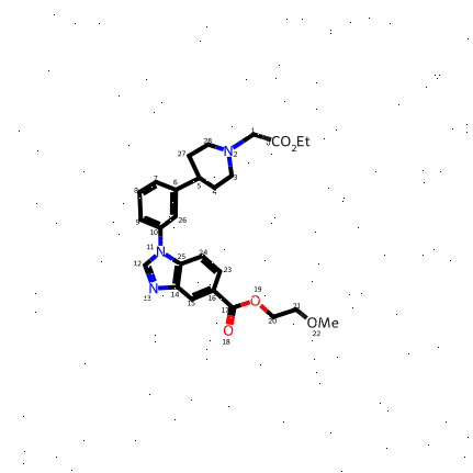 CCOC(=O)CN1CCC(c2cccc(-n3cnc4cc(C(=O)OCCOC)ccc43)c2)CC1